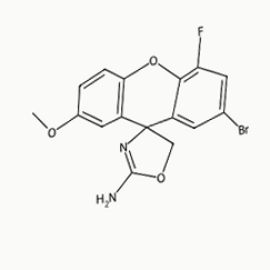 COc1ccc2c(c1)C1(COC(N)=N1)c1cc(Br)cc(F)c1O2